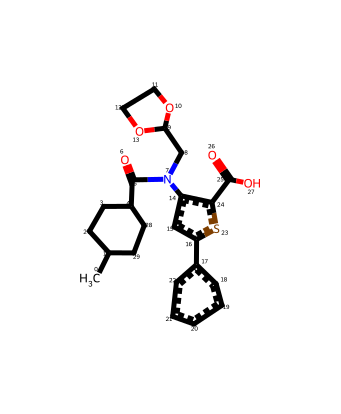 CC1CCC(C(=O)N(CC2OCCO2)c2cc(-c3ccccc3)sc2C(=O)O)CC1